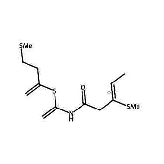 C=C(CCSC)SC(=C)NC(=O)C/C(=C/C)SC